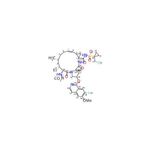 CC[C@@H]1C[C@H](C)CC/C=C\C2CC2(C(=O)NS(=O)(=O)C2(CF)CC2)NC(=O)[C@@H]2C[C@@H](Oc3nccc4cc(OC)c(F)cc34)CN2C(=O)[C@H]1NC(=O)O